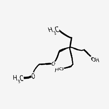 CCC(CO)(CO)COCOC